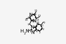 Cc1ccc2nc(N)n(Cc3nc(C)c(C)nc3C)c2c1